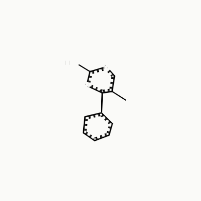 Cc1ncc(S)c(-c2ccccc2)n1